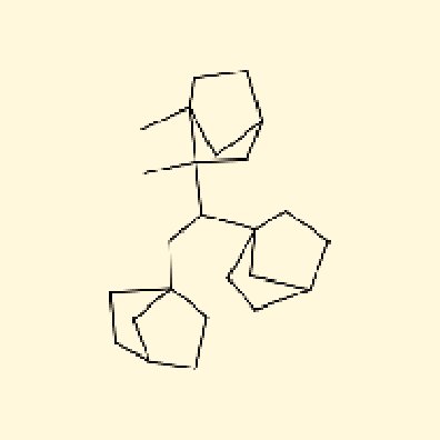 CC12CCC(C1)CC2(C)C(CC12CCC(CC1)C2)C12CCC(CC1)C2